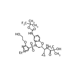 CCn1cc(S(=O)(=O)N2C[C@H]([C@@H](NC(=O)C(C)(C)O)C3CC3)Oc3ccc(NC(=O)OC(C)(C)C(F)(F)F)cc32)c(OCCO)n1